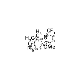 COC1(c2cccc(C(F)(F)F)n2)Cc2cnoc2C(C)(C)C1